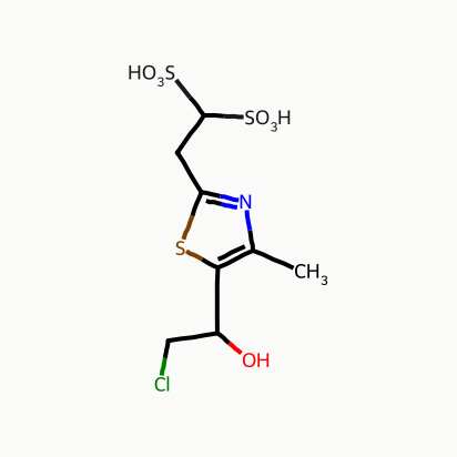 Cc1nc(CC(S(=O)(=O)O)S(=O)(=O)O)sc1C(O)CCl